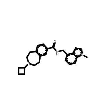 Cn1ccc2c(CNC(=O)c3ccc4c(c3)CCN(C3CCC3)CC4)cccc21